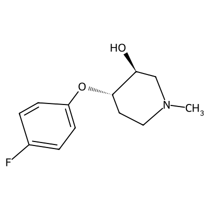 CN1CC[C@H](Oc2ccc(F)cc2)[C@@H](O)C1